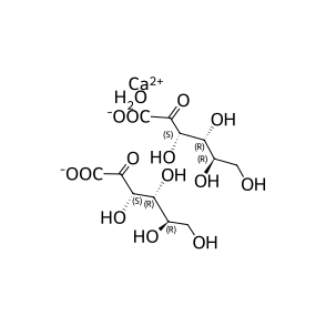 O.O=C([O-])C(=O)[C@@H](O)[C@H](O)[C@H](O)CO.O=C([O-])C(=O)[C@@H](O)[C@H](O)[C@H](O)CO.[Ca+2]